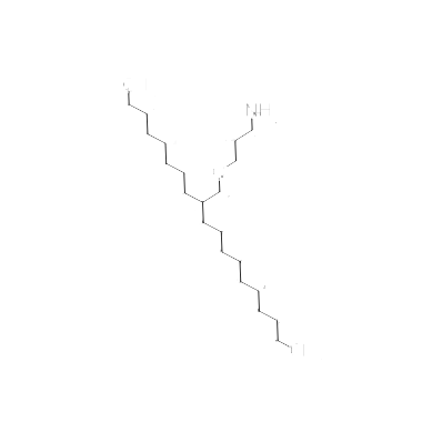 CCCCCCCCCCC(CCCCCCCC)COCCCN